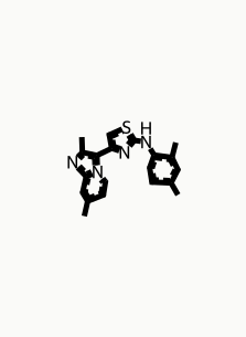 Cc1ccc(Nc2nc(-c3c(C)nc4cc(C)ccn34)cs2)c(C)c1